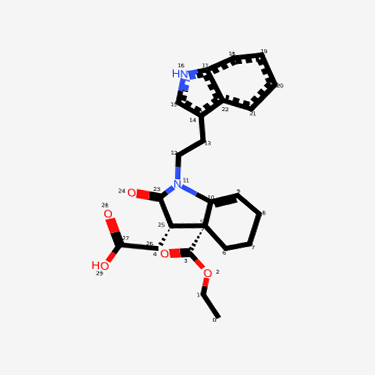 CCOC(=O)[C@@]12CCCC=C1N(CCc1c[nH]c3ccccc13)C(=O)[C@H]2CC(=O)O